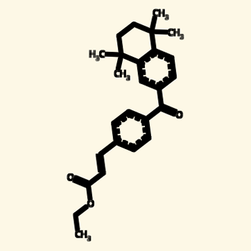 CCOC(=O)/C=C/c1ccc(C(=O)c2ccc3c(c2)C(C)(C)CCC3(C)C)cc1